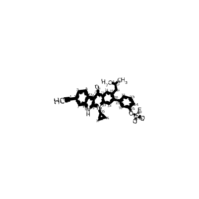 C#Cc1ccc2c(c1)[nH]c1c2c(=O)c2cc(CC(C)C)c(-c3cccc(OS(=O)(=O)F)c3)cc2n1C1CC1